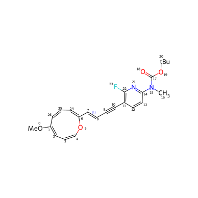 COc1cccoc(/C=C/C#Cc2ccc(N(C)C(=O)OC(C)(C)C)nc2F)ccc1